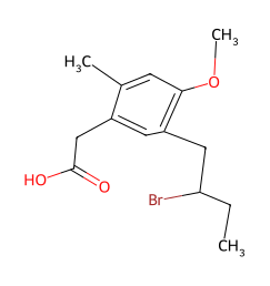 CCC(Br)Cc1cc(CC(=O)O)c(C)cc1OC